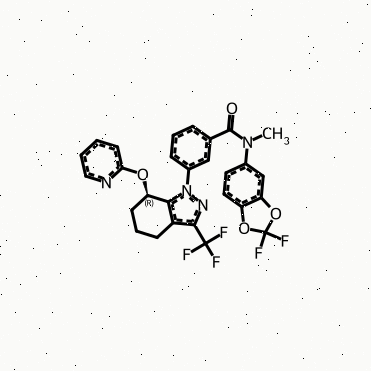 CN(C(=O)c1cccc(-n2nc(C(F)(F)F)c3c2[C@H](Oc2ccccn2)CCC3)c1)c1ccc2c(c1)OC(F)(F)O2